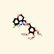 COc1cc(COCC2(N(C)C)CCOc3ccc(F)cc32)cc(OC)c1OC